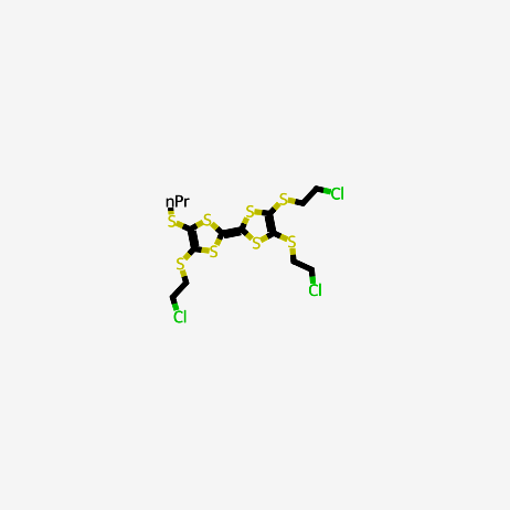 CCCSC1=C(SCCCl)SC(=C2SC(SCCCl)=C(SCCCl)S2)S1